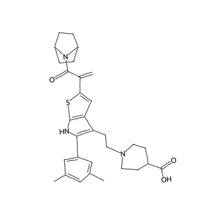 C=C(C(=O)N1C2CCC1CC2)c1cc2c(CCN3CCC(C(=O)O)CC3)c(-c3cc(C)cc(C)c3)[nH]c2s1